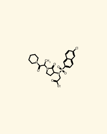 CCC(=O)CN(C1CCN(C(C)C(=O)N2CCCCC2)C1=O)S(=O)(=O)c1ccc2cc(Cl)ccc2c1